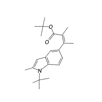 CC(C(=O)OC(C)(C)C)=C(C)c1ccc2c(c1)cc(C)n2C(C)(C)C